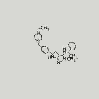 CCN1CCN(Cc2ccc(C3CC4C(=NCN(C)C4N[C@H](C)c4ccccc4)N3)cc2)CC1